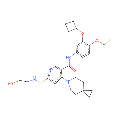 O=C(Nc1ccc(OCF)c(OC2CCC2)c1)c1cnc(SNCCO)cc1N1CCC2(CC1)CC2